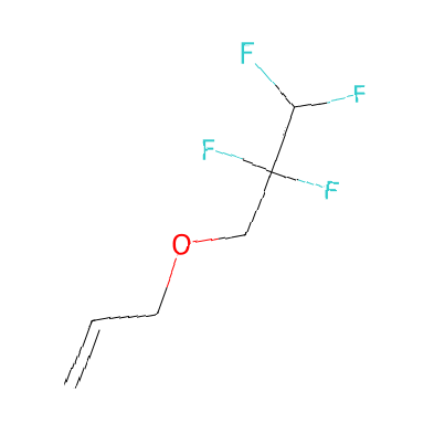 C=CCOCC(F)(F)C(F)F